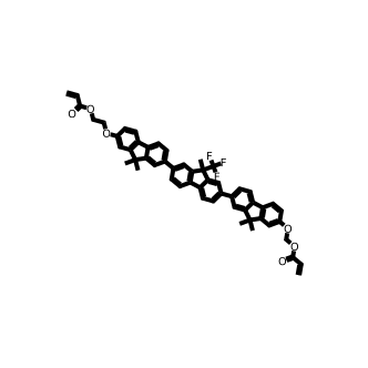 C=CC(=O)OCCOc1ccc2c(c1)C(C)(C)c1cc(-c3ccc4c(c3)C(C)(C(F)(F)F)c3cc(-c5ccc6c(c5)C(C)(C)c5cc(OCOC(=O)C=C)ccc5-6)ccc3-4)ccc1-2